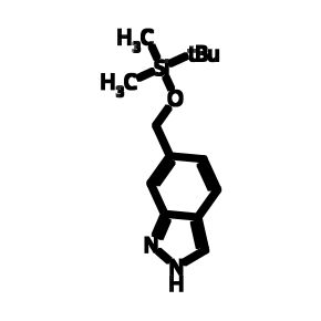 CC(C)(C)[Si](C)(C)OCc1ccc2c[nH]nc2c1